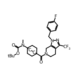 CN(C(=O)OC(C)(C)C)C12CCC(C(=O)N3CCc4c(C(F)(F)F)nn(Cc5ccc(F)cc5)c4C3)(CC1)CC2